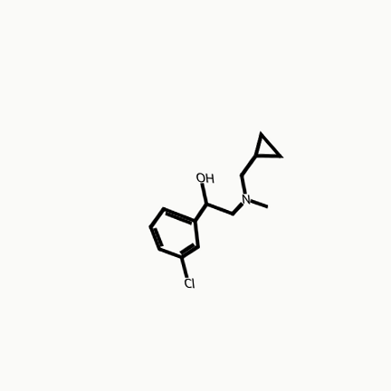 CN(CC1CC1)CC(O)c1cccc(Cl)c1